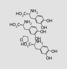 C1CCOC1.N[C@@H](Cc1ccc(O)c(O)c1)C(=O)O.N[C@@H](Cc1ccc(O)c(O)c1)C(=O)O.N[C@@H](Cc1ccc(O)c(O)c1)C(=O)O